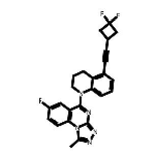 Cc1nnc2nc(N3CCCc4c(C#CC5CC(F)(F)C5)cccc43)c3cc(F)ccc3n12